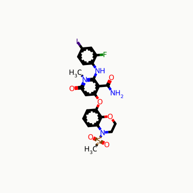 Cn1c(Nc2ccc(I)cc2F)c(C(N)=O)c(Oc2cccc3c2OCCN3S(C)(=O)=O)cc1=O